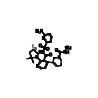 C[C@@H]1CN(c2nccc(C3=CCCN(C(=O)NC(C)(C)C)C3)c2C(=O)NS(=O)(=O)c2cccc(N)n2)C(C)(C)C1